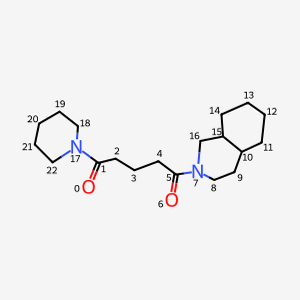 O=C(CCCC(=O)N1CCC2CCCCC2C1)N1CCCCC1